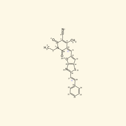 CCN1C(=O)C(C#N)=C(C)/C(=C/c2cc3sc(/C=C/c4ccccc4)nc3o2)C1=O